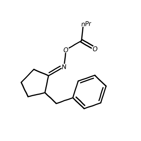 CCCC(=O)ON=C1CCCC1Cc1ccccc1